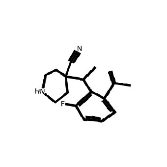 C=C(C)c1cccc(F)c1C(C)C1(C#N)CCNCC1